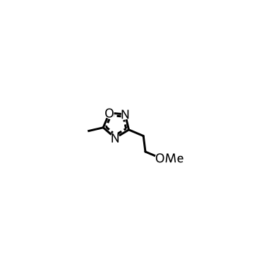 COCCc1noc(C)n1